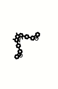 Cc1cc2c(C)cc(-c3ccc(-c4ccc5oc6ccccc6c5c4)cc3)nc2c2nc(-c3ccc(-c4ccc5oc6ccccc6c5c4)cc3)ccc12